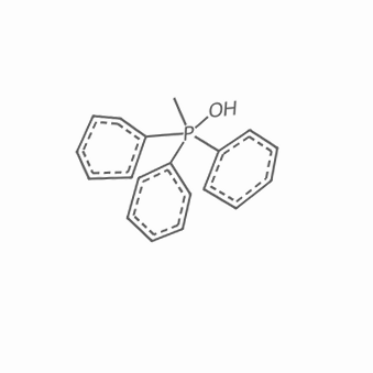 CP(O)(c1ccccc1)(c1ccccc1)c1ccccc1